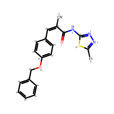 CCc1nnc(NC(=O)C(C#N)=Cc2ccc(OCc3ccccc3)cc2)s1